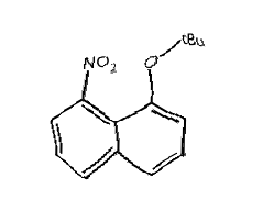 CC(C)(C)Oc1cccc2cccc([N+](=O)[O-])c12